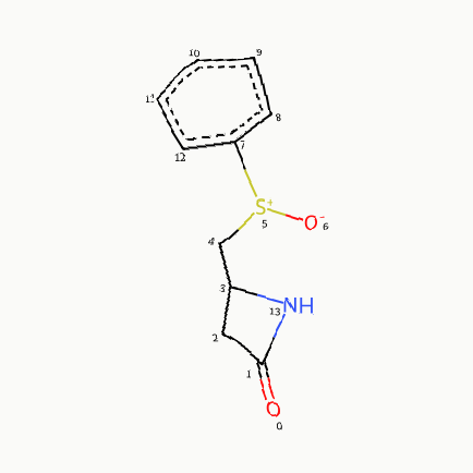 O=C1CC(C[S+]([O-])c2ccccc2)N1